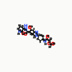 COc1cc2nn(C3CCC(N(C)C(=O)[C@@H](C)OC(C)=O)CC3)cc2cc1C(=O)Nc1cccn(C)c1=O